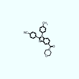 Cc1ccc(-n2c(-c3ccc(C#N)cc3)nc3cc(C(=O)N4CCOCC4)ccc32)cc1